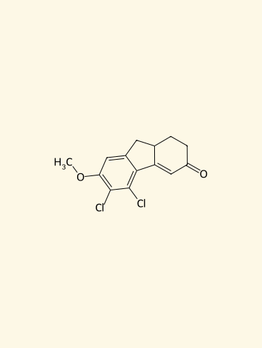 COc1cc2c(c(Cl)c1Cl)C1=CC(=O)CCC1C2